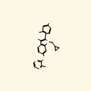 Cc1cc(N)ccc1-c1c(N)c2ccc(Oc3nccnc3N)cc2n1CC1CC1